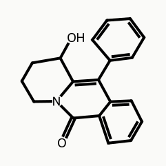 O=c1c2ccccc2c(-c2ccccc2)c2n1CCCC2O